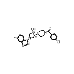 Cc1ccc2c(N3C[C@H](O)[C@@H](N4CCN(C(=O)c5ccc(Cl)cc5)CC4)C3)ncnc2c1